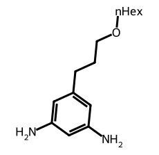 CCCCCCOCCCc1cc(N)cc(N)c1